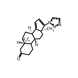 C[C@]12CC[C@H]3[C@@H](CC[C@H]4CC(=O)CC[C@@]43C)C1=CC=C2n1ccnn1